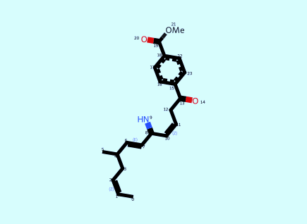 C/C=C\CC(C)/C=C/C(=N)/C=C\CC(=O)c1ccc(C(=O)OC)cc1